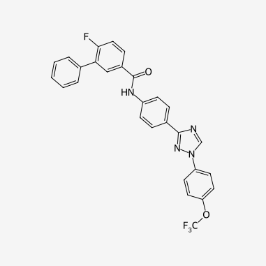 O=C(Nc1ccc(-c2ncn(-c3ccc(OC(F)(F)F)cc3)n2)cc1)c1ccc(F)c(-c2ccccc2)c1